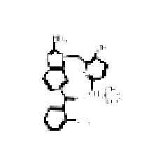 CC(=O)O.Cc1ccc(O)c(Cn2c(N)nc3ccc(C(N)c4ccccc4C)cc32)n1